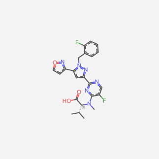 CC(C)[C@H](C(=O)O)N(C)c1nc(-c2cc(-c3ccon3)n(Cc3ccccc3F)n2)ncc1F